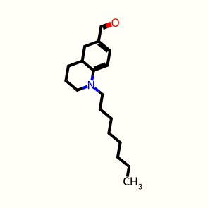 CCCCCCCCN1CCCC2CC(C=O)=CC=C21